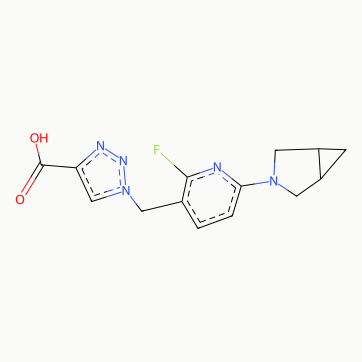 O=C(O)c1cn(Cc2ccc(N3CC4CC4C3)nc2F)nn1